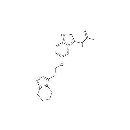 CC(=O)Nc1c[nH]c2ccc(OCCc3cnn4c3CCCC4)cc12